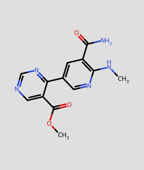 CNc1ncc(-c2ncncc2C(=O)OC)cc1C(N)=O